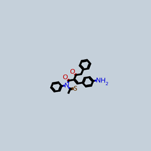 CC(=S)N(C(=O)/C(=C/c1ccc(N)cc1)C(=O)Cc1ccccc1)c1ccccc1